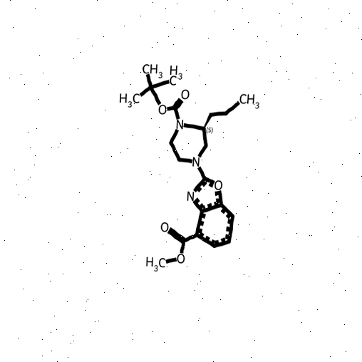 CCC[C@H]1CN(c2nc3c(C(=O)OC)cccc3o2)CCN1C(=O)OC(C)(C)C